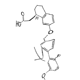 COc1ccc(F)c(-c2ccc(COc3ccc4c(c3)[C@@H](CC(=O)O)CCC4)cc2C(C)(C)C)c1